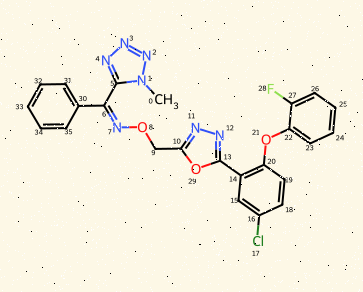 Cn1nnnc1/C(=N\OCc1nnc(-c2cc(Cl)ccc2Oc2ccccc2F)o1)c1ccccc1